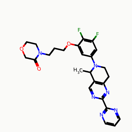 CC1c2cnc(-c3ncccn3)nc2CCN1c1cc(F)c(F)c(OCCCN2CCOCC2=O)c1